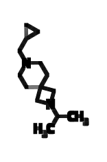 CC(C)N1CC2(CCN(CC3CC3)CC2)C1